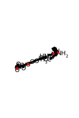 CCOCc1cc2c(N)nc3ccccc3c2n1CCCCNC(=O)CCOCCOCCOCCOCCNC(=O)CCN1C(=O)C=CC1=O